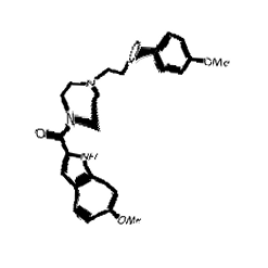 COc1ccc(OCCN2CCN(C(=O)c3cc4ccc(OC)cc4[nH]3)CC2)cc1